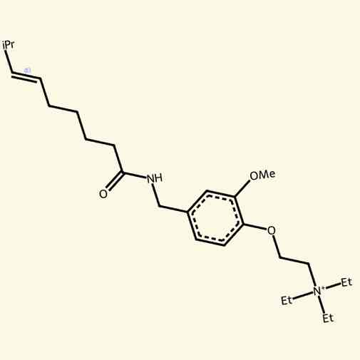 CC[N+](CC)(CC)CCOc1ccc(CNC(=O)CCCC/C=C/C(C)C)cc1OC